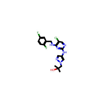 CC(C)(O)Cn1cc(Nc2ncc(Cl)c(NCc3cc(F)ccc3F)n2)cn1